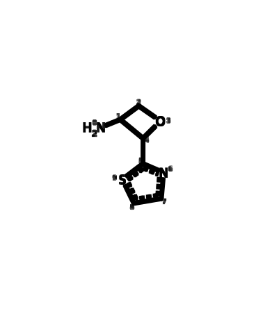 NC1COC1c1nccs1